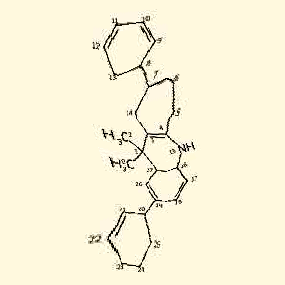 CC1(C)C2=C(CCC(C3C=CC=CC3)C2)NC2C=CC(C3C=CCCC3)=CC21